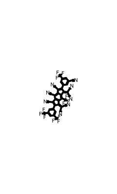 N#CC(C#N)=C1C(c2cc(C#N)cc(C(F)(F)F)c2)=C(C#N)c2c(C#N)c3c(c(C(F)(F)F)c21)C(=C(C#N)C#N)C(c1cc(C(F)(F)F)cc(C(F)(F)F)c1)=C3C#N